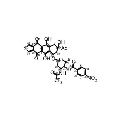 CC(=O)[C@]1(O)Cc2c(O)c3c(c(O)c2[C@H](OC2C[C@H](NC(=O)C(F)(F)F)[C@H](OC(=O)c4ccc([N+](=O)[O-])cc4)[C@H](C)O2)C1)C(=O)c1cscc1C3=O